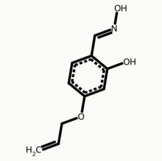 C=CCOc1ccc(/C=N/O)c(O)c1